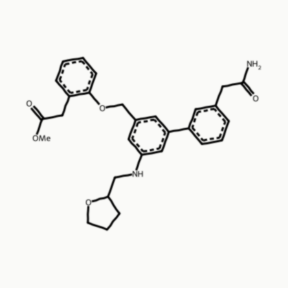 COC(=O)Cc1ccccc1OCc1cc(NCC2CCCO2)cc(-c2cccc(CC(N)=O)c2)c1